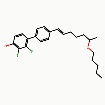 CCCCCOC(C)CCCC=Cc1ccc(-c2ccc(O)c(F)c2F)cc1